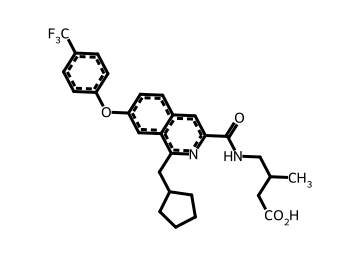 CC(CNC(=O)c1cc2ccc(Oc3ccc(C(F)(F)F)cc3)cc2c(CC2CCCC2)n1)CC(=O)O